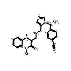 COC(=O)C(CNCc1cncn1[C@H](C)c1ccc(C#N)cc1)Nc1ccccc1